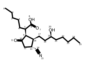 CCCCCC(C(=O)O)[C@@H]1C(=O)C[C@@H](C#N)[C@@H]1CC[C@@H](O)CCCCC